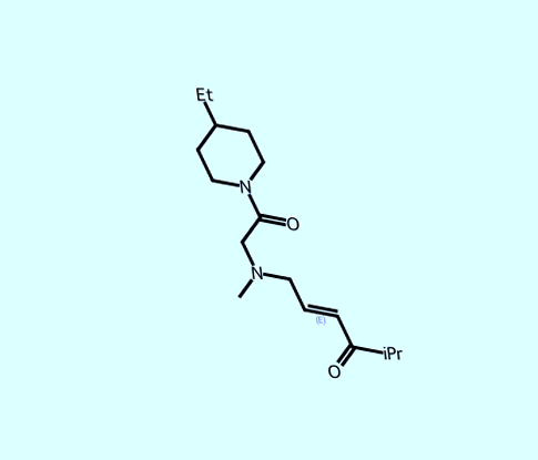 CCC1CCN(C(=O)CN(C)C/C=C/C(=O)C(C)C)CC1